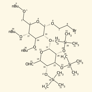 CCCCOCC1O[C@H](OCCBr)[C@H](O[C@H]2OC(C=O)[C@@H](O[Si](C)(C)C)C(O[Si](C)(C)C)[C@H]2O[Si](C)(C)C)C(OCCCC)[C@@H]1OCCCC